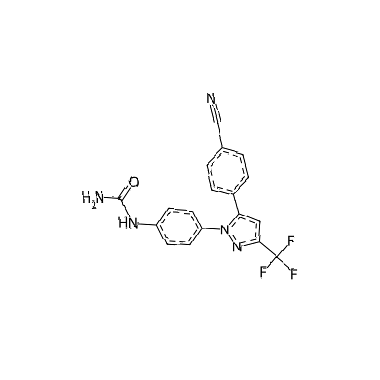 N#Cc1ccc(-c2cc(C(F)(F)F)nn2-c2ccc(NC(N)=O)cc2)cc1